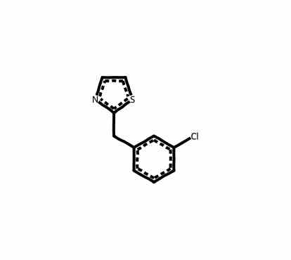 Clc1cccc(Cc2nccs2)c1